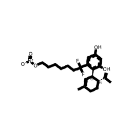 C=C(C)[C@@H]1CCC(C)=C[C@H]1c1c(O)cc(O)cc1C(F)(F)CCCCCCO[N+](=O)[O-]